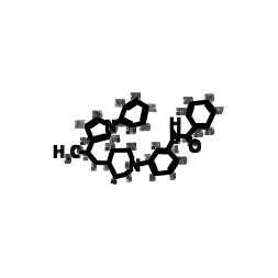 CC(CC1CCN(c2cccc(NC(=O)c3ccccc3)c2)CC1)c1ccn(-c2ccccc2)c1